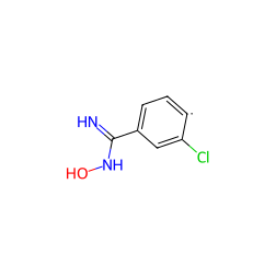 N=C(NO)c1cc[c]c(Cl)c1